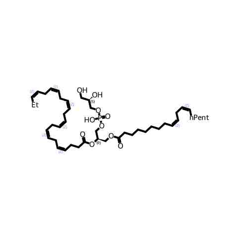 CC/C=C\C/C=C\C/C=C\C/C=C\C/C=C\C/C=C\CCC(=O)O[C@H](COC(=O)CCCCCCC/C=C\C/C=C\CCCCC)COP(=O)(O)OC[C@@H](O)CO